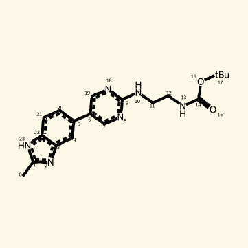 Cc1nc2cc(-c3cnc(NCCNC(=O)OC(C)(C)C)nc3)ccc2[nH]1